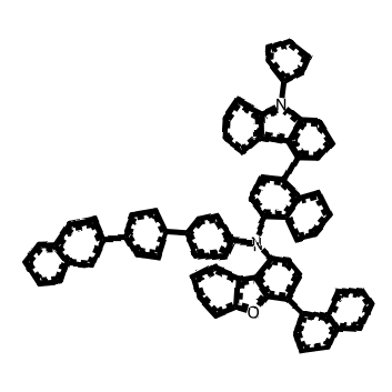 c1ccc(-n2c3ccccc3c3c(-c4ccc(N(c5ccc(-c6ccc(-c7ccc8ccccc8c7)cc6)cc5)c5ccc(-c6cccc7ccccc67)c6oc7ccccc7c56)c5ccccc45)cccc32)cc1